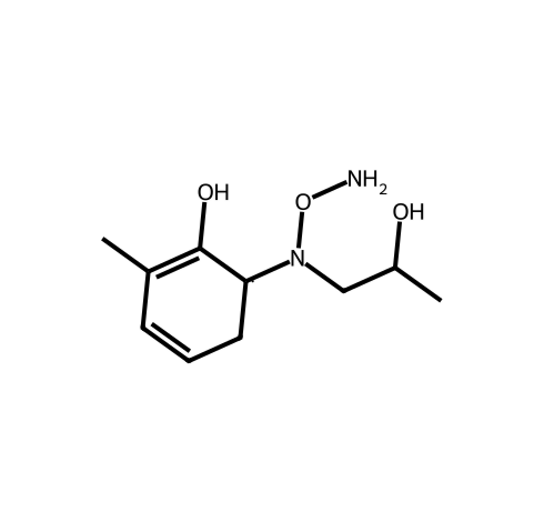 CC1=C(O)[C](N(CC(C)O)ON)CC=C1